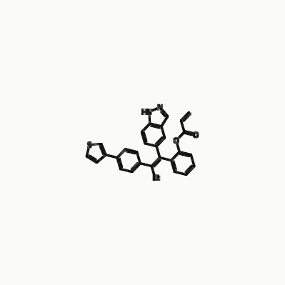 C=CC(=O)Oc1ccccc1/C(=C(\CC)c1ccc(-c2ccsc2)cc1)c1ccc2[nH]ncc2c1